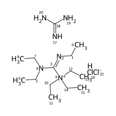 CCN=C(N(CC)CC)[N+](CC)(CC)CC.Cl.N=C(N)N.[Cl-]